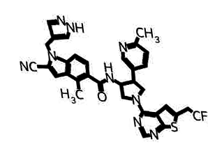 Cc1ccc(C2CN(c3ncnc4sc(CC(F)(F)F)cc34)CC2NC(=O)c2ccc3c(cc(C#N)n3Cc3cn[nH]c3)c2C)cn1